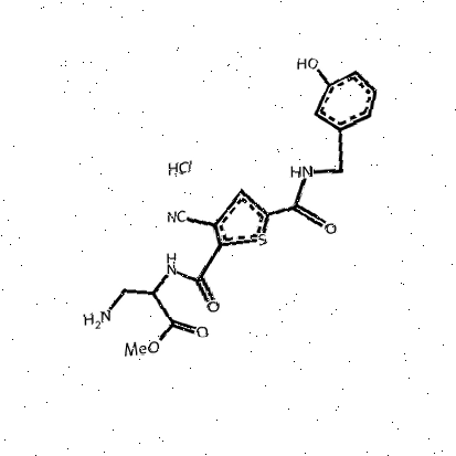 COC(=O)C(CN)NC(=O)c1sc(C(=O)NCc2cccc(O)c2)cc1C#N.Cl